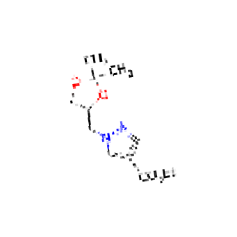 CCOC(=O)c1cnn(CC2COC(C)(C)O2)c1